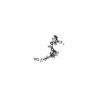 Cc1cncn1-c1cc(C(=O)Nc2cccc(CNc3ccc4c(C(=O)NC(C)C(=O)NCCOCCOCCC(=O)O)[nH]nc4c3)c2)cc(C(F)(F)F)c1